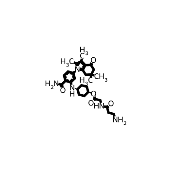 Cc1c2c(n(-c3ccc(C(N)=O)c(N[C@H]4CC[C@H](OC(=O)CNC(=O)CCN)CC4)c3)c1C)CC(C)(C)CC2=O